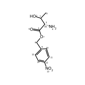 CC(O)[C@H](N)C(=O)OCc1ccc([N+](=O)[O-])cc1